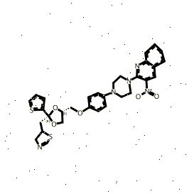 O=[N+]([O-])c1cc2ccccc2nc1N1CCN(c2ccc(OC[C@@H]3CO[C@@](CC4CN=CS4)(c4cccs4)O3)cc2)CC1